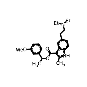 CCN(CC)CCc1ccc2[nH]c(C)c(C(=O)OC(C)c3cccc(OC)c3)c2c1